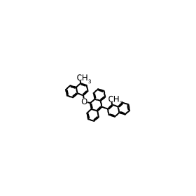 Cc1c(-c2c3ccccc3c(Oc3ccc(C)c4ccccc34)c3ccccc23)ccc2ccccc12